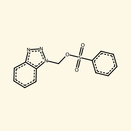 O=S(=O)(OCn1nnc2ccccc21)c1ccccc1